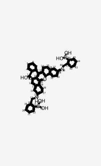 O=C(O)c1ccccc1-c1c2ccc3cc(NCc4ccccc4B(O)O)ccc3c2oc2c1ccc1c/c(=N\Cc3ccccc3B(O)O)ccc12